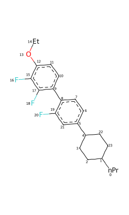 CCCC1CCC(c2ccc(-c3ccc(OCC)c(F)c3F)c(F)c2)CC1